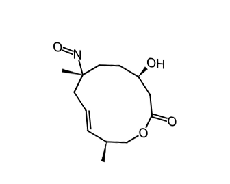 C[C@H]1/C=C/C[C@](C)(N=O)CC[C@@H](O)CC(=O)OC1